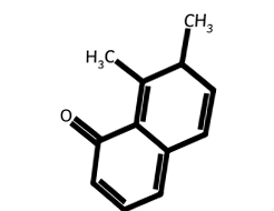 CC1=C2C(=O)C=CC=C2C=CC1C